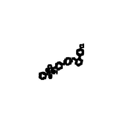 O=C(NS(=O)(=O)c1ccccc1)c1ccc(N2CCN(Cc3ccccc3-c3ccc(Cl)cc3)CC2)cc1